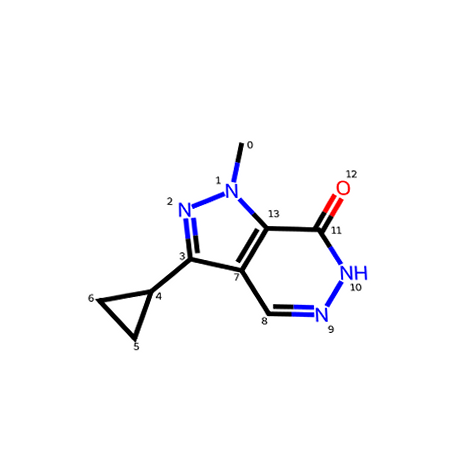 Cn1nc(C2CC2)c2cn[nH]c(=O)c21